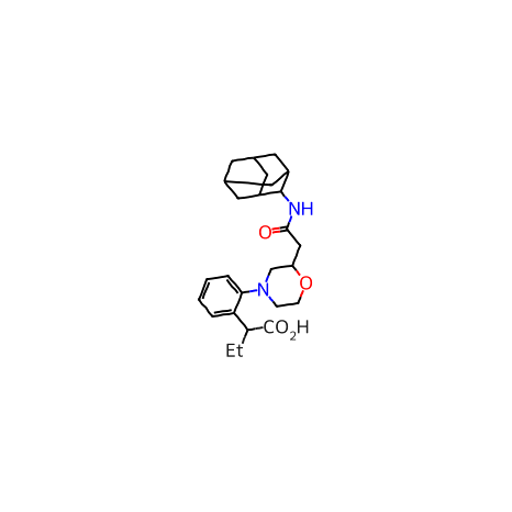 CCC(C(=O)O)c1ccccc1N1CCOC(CC(=O)NC2C3CC4CC(C3)CC2C4)C1